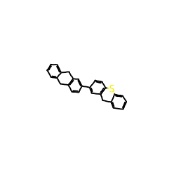 c1ccc2c(c1)Cc1ccc(-c3ccc4c(c3)Cc3ccccc3S4)cc1C2